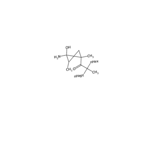 CCCCCCCC(C)(CCCCCC)C(=O)C1(C)CC12C(C)C2(N)O